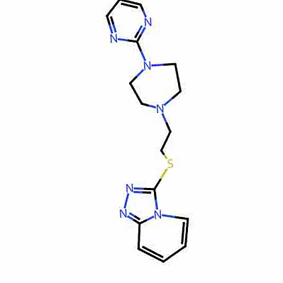 c1cnc(N2CCN(CCSc3nnc4ccccn34)CC2)nc1